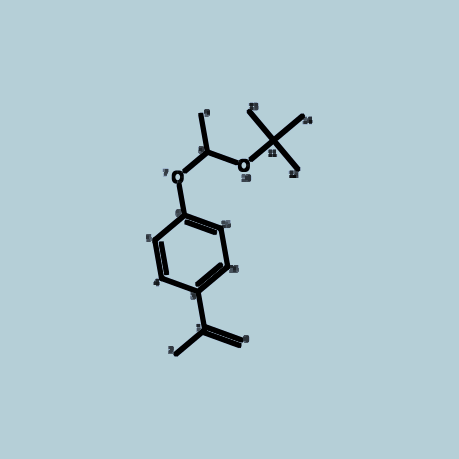 C=C(C)c1ccc(OC(C)OC(C)(C)C)cc1